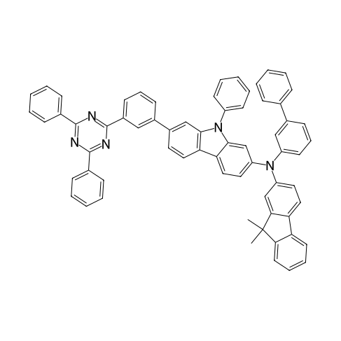 CC1(C)c2ccccc2-c2ccc(N(c3cccc(-c4ccccc4)c3)c3ccc4c5ccc(-c6cccc(-c7nc(-c8ccccc8)nc(-c8ccccc8)n7)c6)cc5n(-c5ccccc5)c4c3)cc21